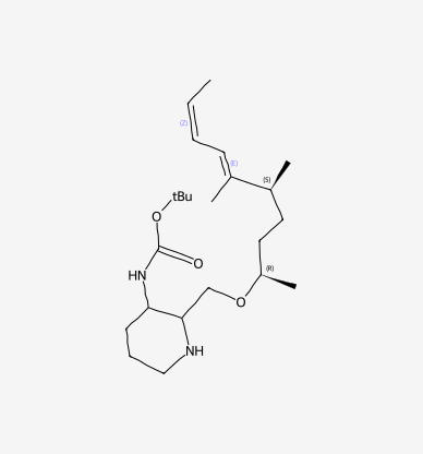 C/C=C\C=C(/C)[C@@H](C)CC[C@@H](C)OCC1NCCCC1NC(=O)OC(C)(C)C